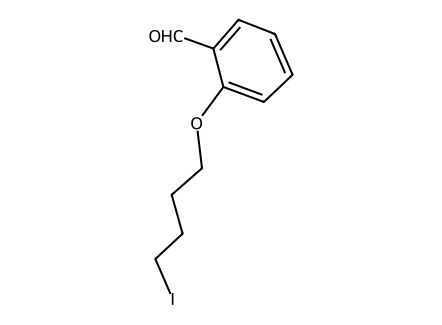 O=Cc1ccccc1OCCCCI